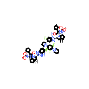 COC(=O)N[C@H](C(=O)N1[C@H](c2nc3cc([C@H]4CC[C@H](c5cc6nc([C@@H]7C[C@@H]8CCC[C@@H]8N7C(=O)[C@@H](NC(=O)OC)C7CCCC7)[nH]c6cc5F)N4C4=CC(F)=C(N5CCCCC5)C(F)C4)c(F)cc3[nH]2)C[C@@H]2CCC[C@@H]21)C1CCCC1